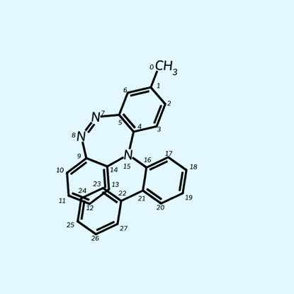 Cc1ccc2c(c1)N=Nc1ccccc1N2c1ccccc1-c1ccccc1